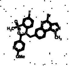 COc1ccc(C(=O)N(Cc2ccc3c(c2)nc(Br)c2cnn(C)c23)c2ccc(F)cc2S(C)(=O)=O)cn1